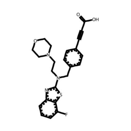 O=C(O)C#Cc1ccc(CN(CCN2CCOCC2)c2nc3cccc(F)c3s2)cc1